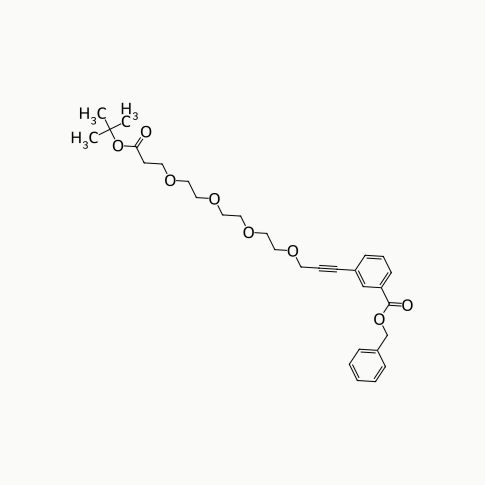 CC(C)(C)OC(=O)CCOCCOCCOCCOCC#Cc1cccc(C(=O)OCc2ccccc2)c1